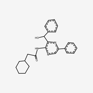 O=C(CC1CCCCC1)Nc1ncc(-c2ccccc2)nc1C(O)c1ccccc1